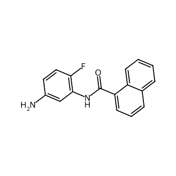 Nc1ccc(F)c(NC(=O)c2cccc3ccccc23)c1